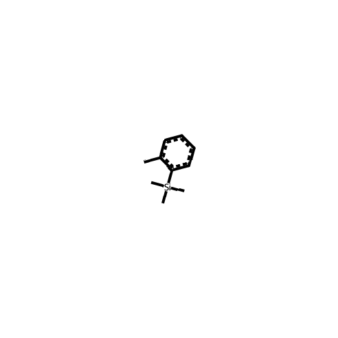 Cc1ccccc1[Si](C)(C)C